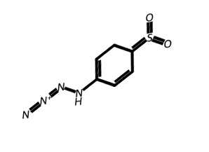 [N-]=[N+]=NNC1=CCC(=S(=O)=O)C=C1